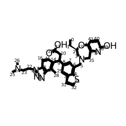 CC[C@@H]1CN(Cc2cc(C(CC(=O)O)c3ccc4c(nnn4CCN(C)C)c3C)cc3ccsc23)Cc2nc(O)ccc2O1